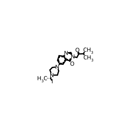 CC(C)C(=O)Cn1cnc2ccc(N3CCN([C@@H](C)I)CC3)cc2c1=O